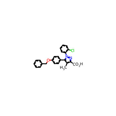 Cc1c(C(=O)O)nn(-c2ccccc2Cl)c1-c1ccc(OCc2ccccc2)cc1